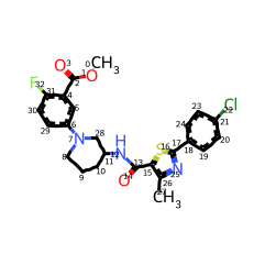 COC(=O)c1cc(N2CCCC(NC(=O)c3sc(-c4ccc(Cl)cc4)nc3C)C2)ccc1F